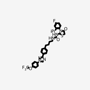 CC(C)c1cc(F)ccc1N1C(=O)CSC1NC(=O)NCCCCc1ccc(-c2ncn(-c3ccc(OC(F)(F)F)cc3)n2)cc1